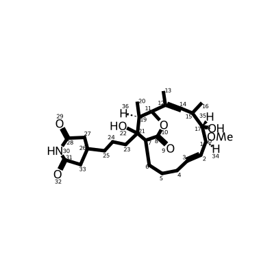 CO[C@H]1/C=C/CCCC2C(=O)OC(/C(C)=C\C(C)[C@@H]1O)[C@H](C)C2(O)CCCC1CC(=O)NC(=O)C1